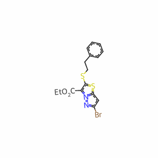 CCOC(=O)c1c(SCCc2ccccc2)sc2cc(Br)nn12